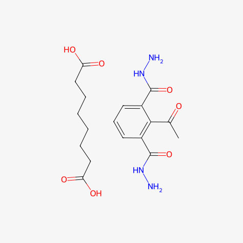 CC(=O)c1c(C(=O)NN)cccc1C(=O)NN.O=C(O)CCCCCCC(=O)O